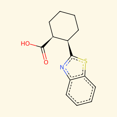 O=C(O)[C@H]1CCCC[C@H]1c1nc2ccccc2s1